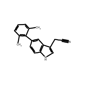 Cc1cccc(C)c1-c1ccc2[nH]cc(CC#N)c2c1